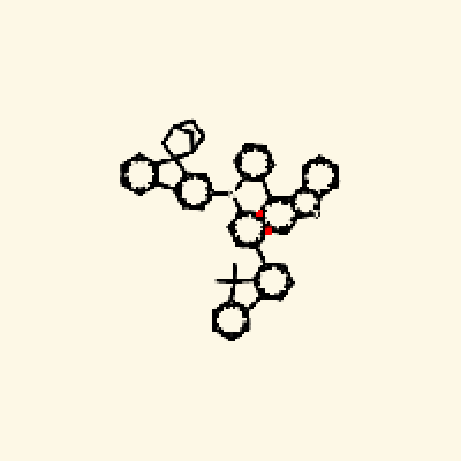 CC1(C)c2ccccc2-c2cccc(-c3ccc(N(c4ccc5c(c4)C4(CC6CCC4C6)c4ccccc4-5)c4ccccc4-c4cccc5oc6ccccc6c45)cc3)c21